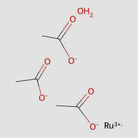 CC(=O)[O-].CC(=O)[O-].CC(=O)[O-].O.[Ru+3]